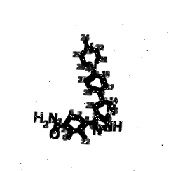 Cc1c(C(N)=O)ccc(-c2n[nH]c3ncc(-c4ccc(N5CCN(C)CC5)cc4)cc23)c1C